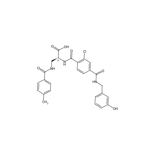 Cc1ccc(C(=O)NC[C@H](NC(=O)c2ccc(C(=O)NCc3cccc(O)c3)cc2Cl)C(=O)O)cc1